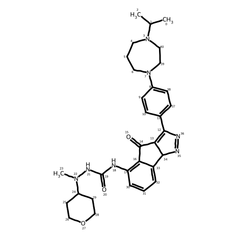 CC(C)N1CCCN(c2ccc(C3=C4C(=O)c5c(NC(=O)NN(C)C6CCOCC6)cccc5C4N=N3)cc2)CC1